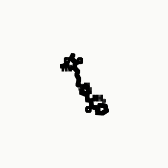 CCC(=O)C(CCCCn1cc(C[C@@H](N)C(=O)N2CCCCC2)nn1)NC(C)=O